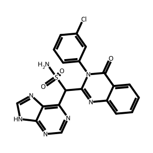 NS(=O)(=O)C(c1ncnc2[nH]cnc12)c1nc2ccccc2c(=O)n1-c1cccc(Cl)c1